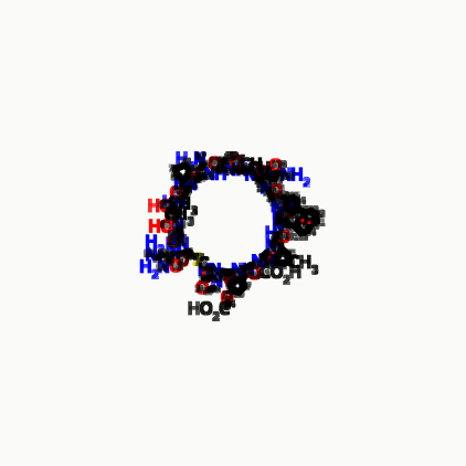 Cc1cccc(C[C@@H]2NC(=O)[C@H](CC(=O)O)NC(=O)[C@H](Cc3ccc(OCC(=O)O)cc3)NC(=O)[C@H](CN3CCOCC3)NC(=O)CSC[C@@H](C(=O)N[C@@H](CCN)C(N)=O)NC(=O)[C@H](CO)NC(=O)[C@H](C(C)(C)O)NC(=O)[C@H](CC3CCCCC3)NC(=O)[C@H](CCN)NC(=O)[C@@H](CC(C)C)NC(=O)[C@H](C)N(C)C(=O)[C@H](CCC(N)=O)NC(=O)[C@H](Cc3ccc(-c4ccccc4)cc3)NC(=O)[C@H](CCc3ccccc3)NC2=O)c1